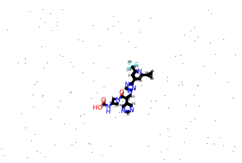 O=C(O)NC1CN(C(=O)C(=Cn2cnc(-c3cc(C4CC4)nc(C(F)(F)F)c3)n2)c2cncnc2)C1